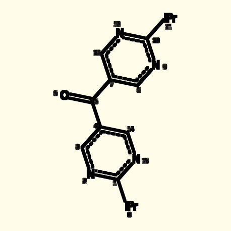 CC(C)c1ncc(C(=O)c2cnc(C(C)C)nc2)cn1